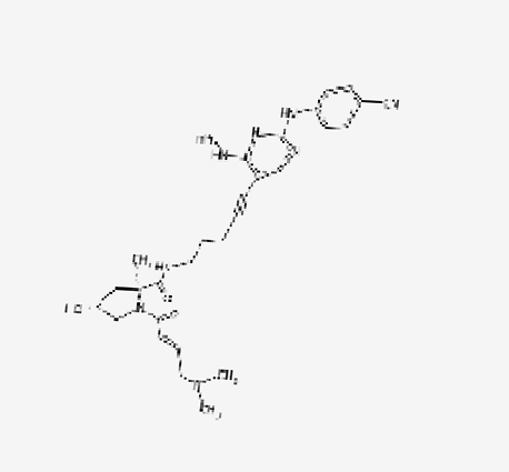 CCCNc1nc(Nc2ccc(C#N)cc2)ncc1C#CCCCNC(=O)[C@]1(C)C[C@@H](O)CN1C(=O)/C=C/CN(C)C